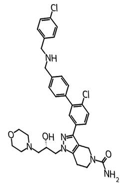 NC(=O)N1CCc2c(c(-c3ccc(Cl)c(-c4ccc(CNCc5ccc(Cl)cc5)cc4)c3)nn2C[C@@H](O)CN2CCOCC2)C1